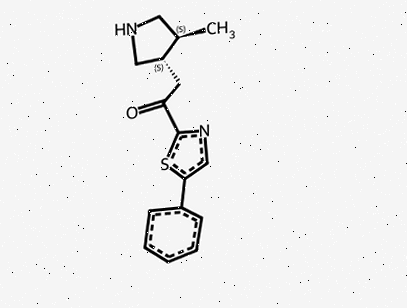 C[C@@H]1CNC[C@H]1CC(=O)c1ncc(-c2ccccc2)s1